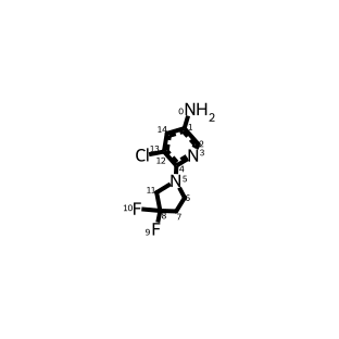 Nc1cnc(N2CCC(F)(F)C2)c(Cl)c1